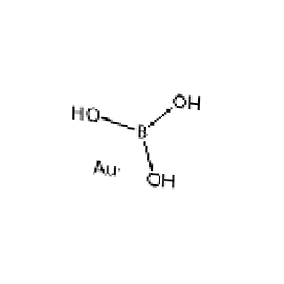 OB(O)O.[Au]